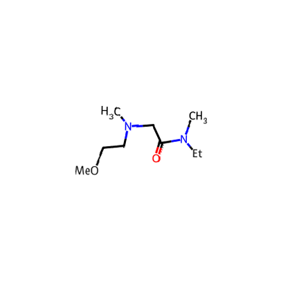 CCN(C)C(=O)CN(C)CCOC